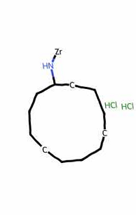 Cl.Cl.[Zr][NH]C1CCCCCCCCCCC1